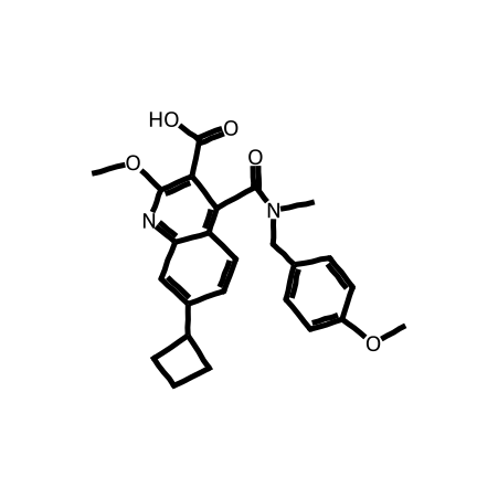 COc1ccc(CN(C)C(=O)c2c(C(=O)O)c(OC)nc3cc(C4CCC4)ccc23)cc1